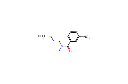 CN(CCCC(=O)O)C(=O)c1cc[c]c([N+](=O)[O-])c1